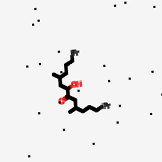 CC(C)CCCC(C)CC(=O)C(O)CC(C)CCCC(C)C